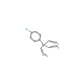 C=C[Si](C=C)(C=C)c1ccc(F)cc1